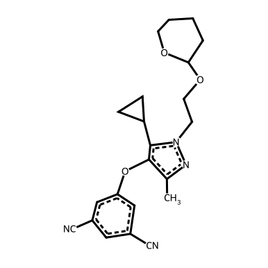 Cc1nn(CCOC2CCCCO2)c(C2CC2)c1Oc1cc(C#N)cc(C#N)c1